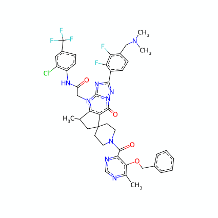 Cc1ncnc(C(=O)N2CCC3(CC2)CC(C)c2c3c(=O)n3nc(-c4ccc(CN(C)C)c(F)c4F)nc3n2CC(=O)Nc2ccc(C(F)(F)F)cc2Cl)c1OCc1ccccc1